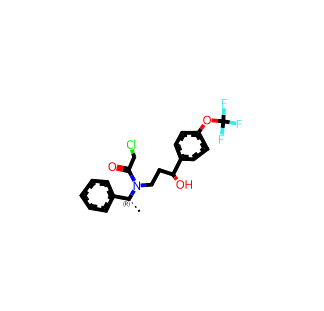 C[C@H](c1ccccc1)N(CCC(O)c1ccc(OC(F)(F)F)cc1)C(=O)CCl